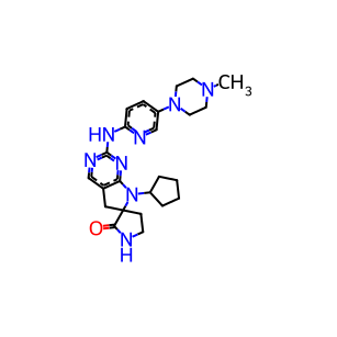 CN1CCN(c2ccc(Nc3ncc4c(n3)N(C3CCCC3)C3(CCNC3=O)C4)nc2)CC1